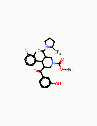 Cc1c(F)cccc1C1C(C(=O)c2cccc(O)c2)CN(C(=O)OC(C)(C)C)CC1C(=O)N1CCC[C@H]1C(F)(F)F